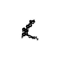 CC(C)(C)OC(=O)N1CCc2cc(-c3nnc(-c4ccc(F)cc4OCCOCCN)c4sccc34)ccc2C1